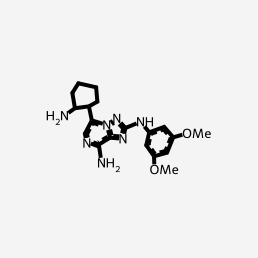 COc1cc(Nc2nc3c(N)ncc(C4CCCCC4N)n3n2)cc(OC)c1